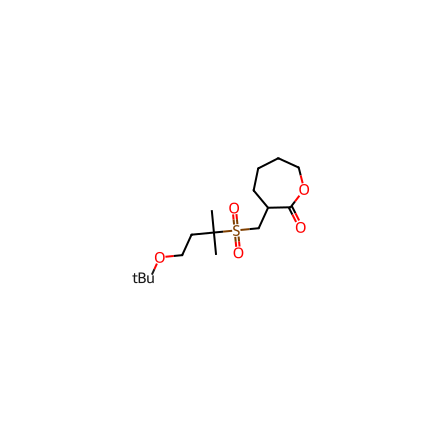 CC(C)(C)OCCC(C)(C)S(=O)(=O)CC1CCCCOC1=O